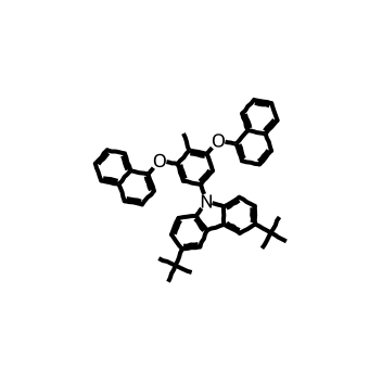 Cc1c(Oc2cccc3ccccc23)cc(-n2c3ccc(C(C)(C)C)cc3c3cc(C(C)(C)C)ccc32)cc1Oc1cccc2ccccc12